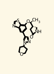 C[C@H](Oc1cc(-c2cnn(C3CCOCC3)c2)cc2ncsc12)[C@@H]1CNC(=O)C1